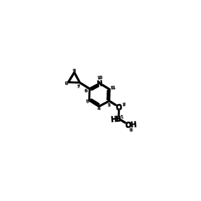 OBOc1ccc(C2CC2)nc1